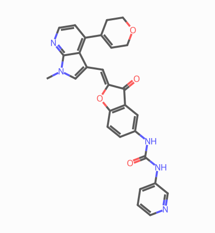 Cn1cc(C=C2Oc3ccc(NC(=O)Nc4cccnc4)cc3C2=O)c2c(C3=CCOCC3)ccnc21